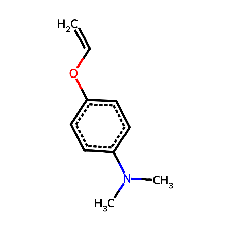 C=COc1ccc(N(C)C)cc1